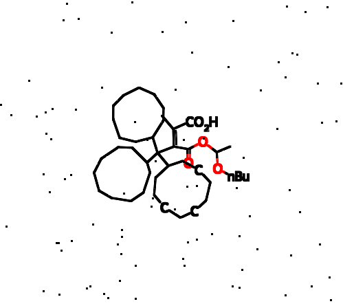 CCCCOC(C)OC(=O)C(=C(C)C(=O)O)C(C1CCCCCCCCC1)(C1CCCCCCCCC1)C1CCCCCCCCC1